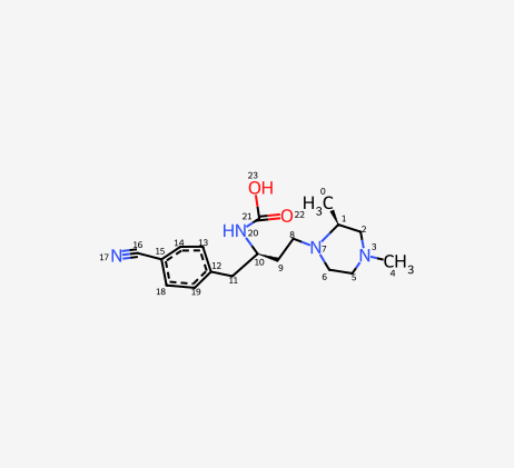 C[C@H]1CN(C)CCN1CC[C@@H](Cc1ccc(C#N)cc1)NC(=O)O